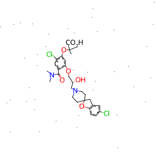 CN(C)C(=O)c1cc(Cl)c(OC(C)(C)C(=O)O)cc1OC[C@H](O)CN1CCC2(CC1)Cc1cc(Cl)ccc1O2